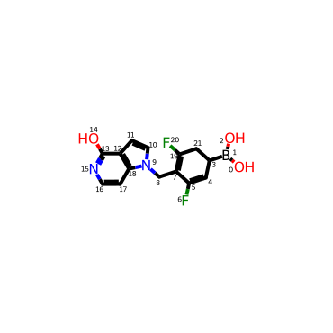 OB(O)C1C=C(F)C(Cn2ccc3c(O)nccc32)=C(F)C1